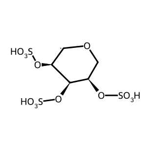 O=S(=O)(O)O[C@H]1[C@@H](OS(=O)(=O)O)[CH]OC[C@H]1OS(=O)(=O)O